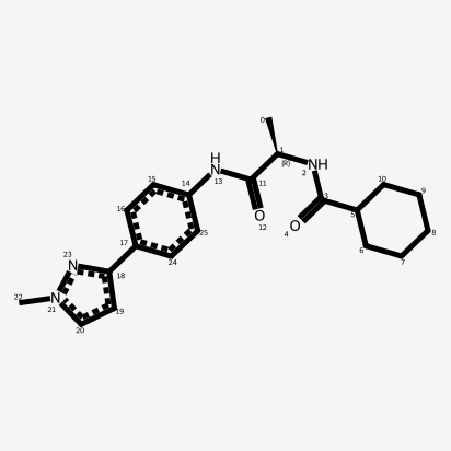 C[C@@H](NC(=O)C1CCCCC1)C(=O)Nc1ccc(-c2ccn(C)n2)cc1